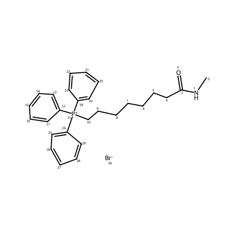 CNC(=O)CCCCCCC[P+](c1ccccc1)(c1ccccc1)c1ccccc1.[Br-]